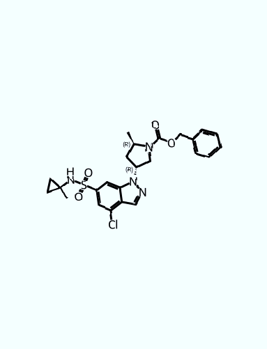 C[C@@H]1C[C@@H](n2ncc3c(Cl)cc(S(=O)(=O)NC4(C)CC4)cc32)CN1C(=O)OCc1ccccc1